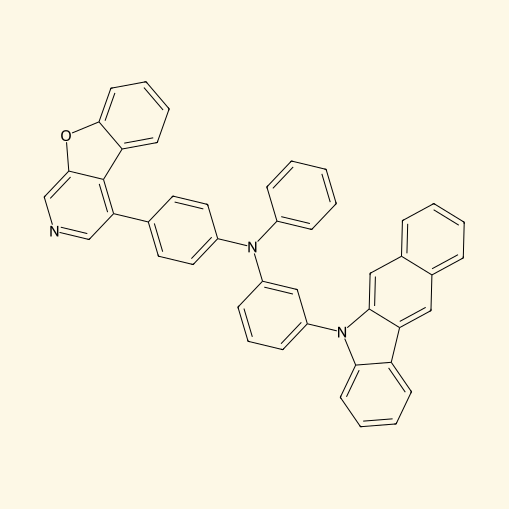 c1ccc(N(c2ccc(-c3cncc4oc5ccccc5c34)cc2)c2cccc(-n3c4ccccc4c4cc5ccccc5cc43)c2)cc1